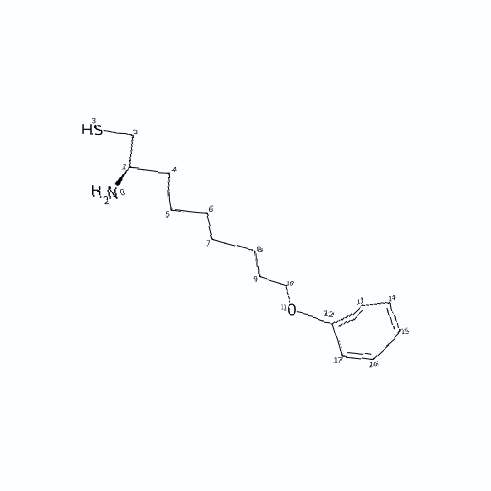 N[C@@H](CS)CCCCCCCOc1ccccc1